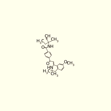 C#CC(CC)(CC)NC(=O)c1ccc(C(=O)C=C2NC(C)(C)Cc3ccc(OC)cc32)cc1